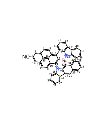 N#Cc1cc2ccc3c4c5c(c6ccc(c1)c2c36)-n1c2ccccc2c2cc3ccccc3c(c21)B5n1c2ccccc2c2cccc-4c21